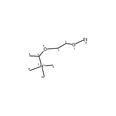 CCOCCOC(C)[N+](C)(C)C